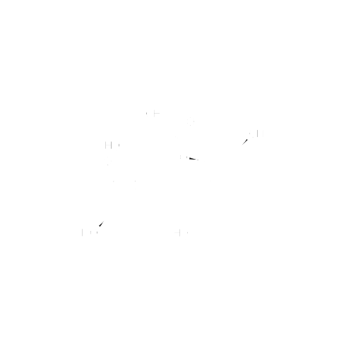 CC[C@H](C)C(=O)O[C@H]1C[C@@H](C)C=C2C=C[C@H](C)C(CC[C@@H]3C[C@@H](O)CC(=O)O3)C21